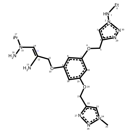 CCNn1cc(COc2cc(OC/C(N)=C/N(N)C(C)C)cc(OCc3cn(C)nn3)c2)nn1